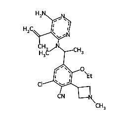 C=C(C)c1c(N)ncnc1N(C)C(C)c1cc(Cl)c(C#N)c(C2CN(C)C2)c1OCC